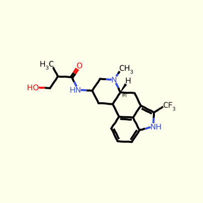 CC(CO)C(=O)NC1CC2c3cccc4[nH]c(C(F)(F)F)c(c34)C[C@H]2N(C)C1